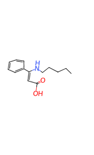 CCCCCNC(=CC(=O)O)c1ccccc1